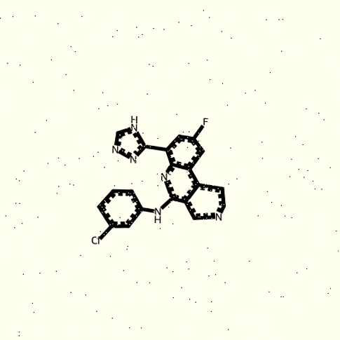 Fc1cc(-c2nnc[nH]2)c2nc(Nc3cccc(Cl)c3)c3cnccc3c2c1